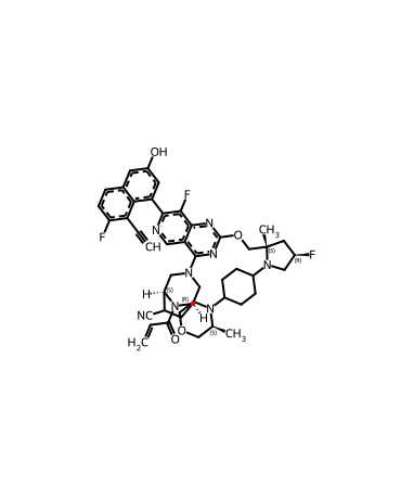 C#Cc1c(F)ccc2cc(O)cc(-c3ncc4c(N5C[C@H]6CC(C#N)[C@@H](C5)N6C(=O)C=C)nc(OC[C@]5(C)C[C@@H](F)CN5C5CCC(N6CCOC[C@@H]6C)CC5)nc4c3F)c12